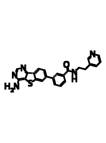 Nc1ncnc2c1sc1cc(-c3cccc(C(=O)NCCc4cccnc4)c3)ccc12